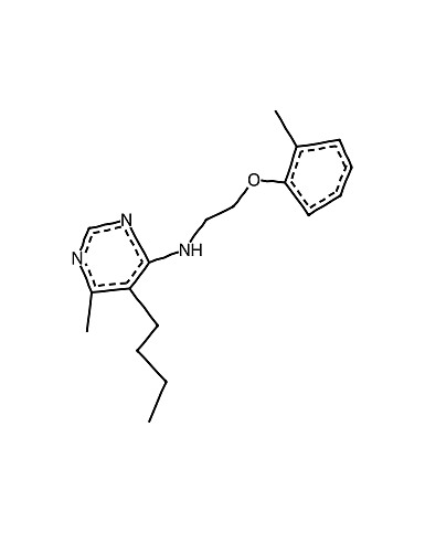 CCCCc1c(C)ncnc1NCCOc1ccccc1C